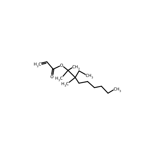 C=CC(=O)OC(C)(C)C(C)(CC)CCCCCC